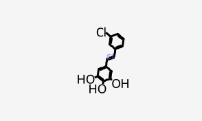 Oc1cc(/C=C/c2cccc(Cl)c2)cc(O)c1O